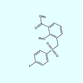 COC(=O)c1cccc(CS(=O)(=O)c2ccc(F)cc2)c1OC